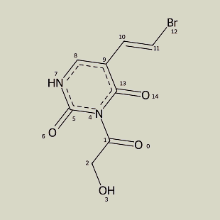 O=C(CO)n1c(=O)[nH]cc(C=CBr)c1=O